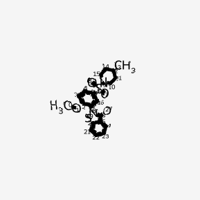 COc1ccc(S(=O)(=O)N2CCC(C)CC2)cc1-n1sc2ccccc2c1=O